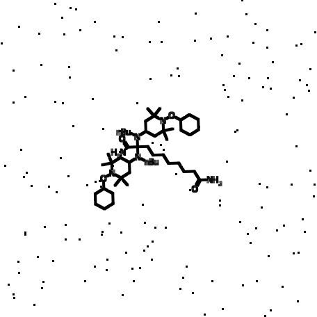 CCCCN(C1CC(C)(C)N(OC2CCCCC2)C(C)(C)C1)C(CCCCCCCC(N)=O)(C(N)=O)N(CCCC)C1CC(C)(C)N(OC2CCCCC2)C(C)(C)C1